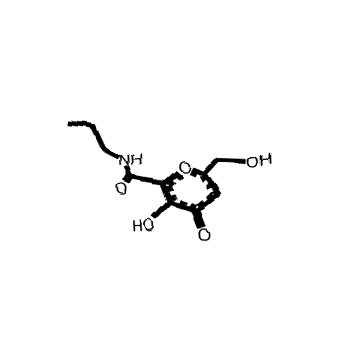 CCCNC(=O)c1oc(CO)cc(=O)c1O